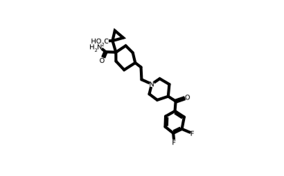 NC(=O)C1(C2(C(=O)O)CC2)CCC(CCN2CCC(C(=O)c3ccc(F)c(F)c3)CC2)CC1